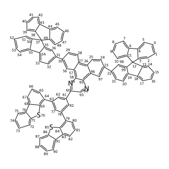 c1ccc2c(c1)-c1ccccc1C21c2ccccc2-c2ccc(-c3ccc4c5ccc(-c6ccc7c(c6)C6(c8ccccc8-c8ccccc86)c6ccccc6-7)cc5c5nc(-c6cc(-c7cccc8c7sc7ccccc78)cc(-c7cccc8c7sc7ccccc78)c6)cnc5c4c3)cc21